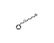 BrCCCCCOCCc1ccccc1